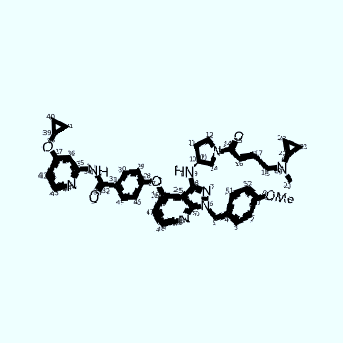 COc1ccc(Cn2nc(N[C@@H]3CCN(C(=O)C=CCN(C)C4CC4)C3)c3c(Oc4ccc(C(=O)Nc5cc(OC6CC6)ccn5)cc4)ccnc32)cc1